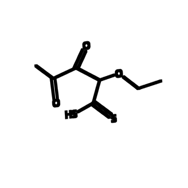 CCOC(C(=O)C(C)=O)C(=S)S